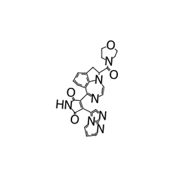 O=C1NC(=O)C(c2cnc3ncccn23)=C1C1=NC=CN2c3c(cccc31)CC2C(=O)N1CCOCC1